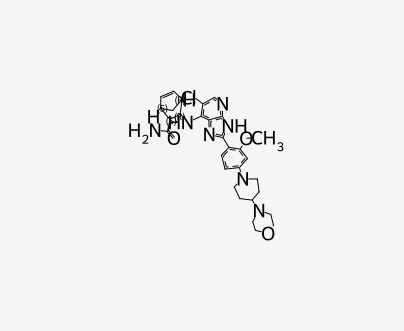 COc1cc(N2CCC(N3CCOCC3)CC2)ccc1-c1nc2c(N[C@H]3[C@@H](C(N)=O)[C@@H]4C=C[C@H]3C4)c(Cl)cnc2[nH]1